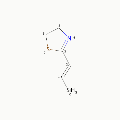 [SiH3]C=CC1=NCCS1